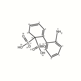 Nc1ccccc1C1=CC=CCC1(S(=O)(=O)O)S(=O)(=O)O